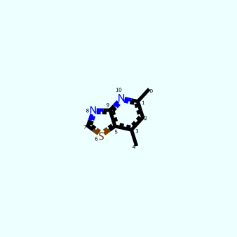 Cc1cc(C)c2scnc2n1